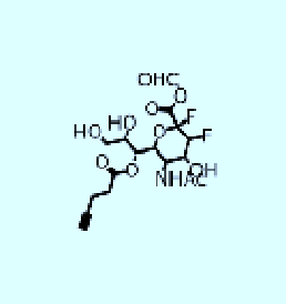 C#CCCC(=O)O[C@@H](C1OC(F)(C(=O)OC=O)C(F)C(O)C1NC(C)=O)[C@H](O)CO